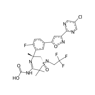 CC1(C)C(NC(=O)O)=N[C@](C)(c2cc(-c3cc(-c4ncc(Cl)cn4)no3)ccc2F)C[S@@]1(=O)=NCC(F)(F)F